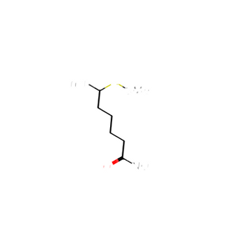 CCCC(CCCCC(=O)N=O)SSC